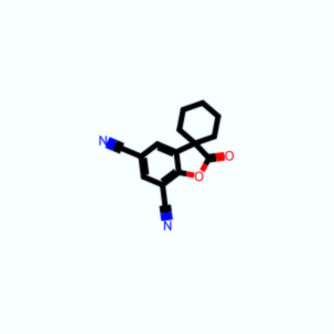 N#Cc1cc(C#N)c2c(c1)C1(CCCCC1)C(=O)O2